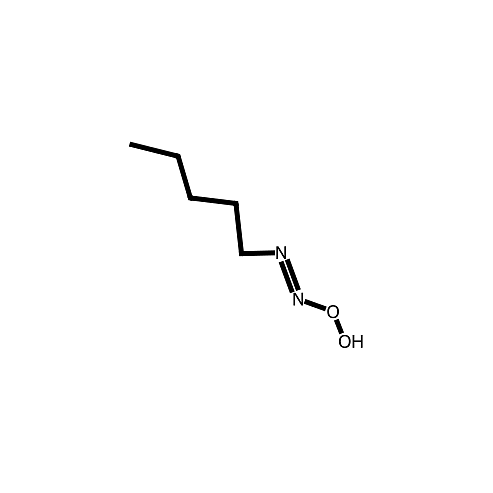 CCCCC/N=N/OO